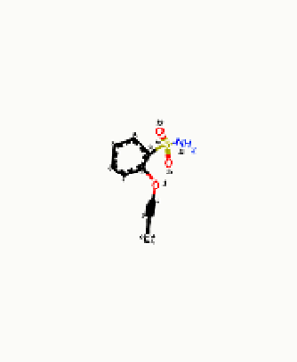 CCC#COc1ccccc1S(N)(=O)=O